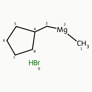 Br.[CH3][Mg][CH2]C1CCCC1